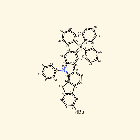 CC(C)(C)c1ccc2c(c1)-c1ccc3c4cc([Si](c5ccccc5)(c5ccccc5)c5ccccc5)ccc4n(-c4ccccc4)c3c1C2